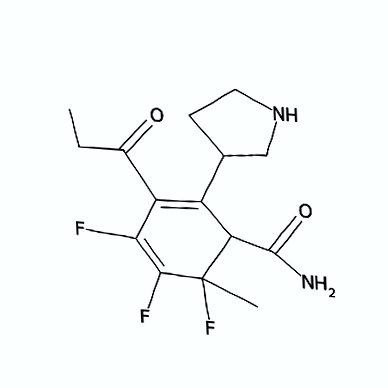 CCC(=O)C1=C(C2CCNC2)C(C(N)=O)C(C)(F)C(F)=C1F